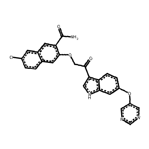 NC(=O)c1cc2cc(Cl)ccc2cc1OCC(=O)c1c[nH]c2cc(Oc3cncnc3)ccc12